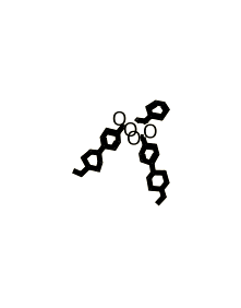 CCC1CCC(c2ccc(C(=O)OCC(OC(=O)c3ccc(C4CCC(CC)CC4)cc3)c3ccccc3)cc2)CC1